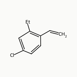 C=Cc1ccc(Cl)cc1CC